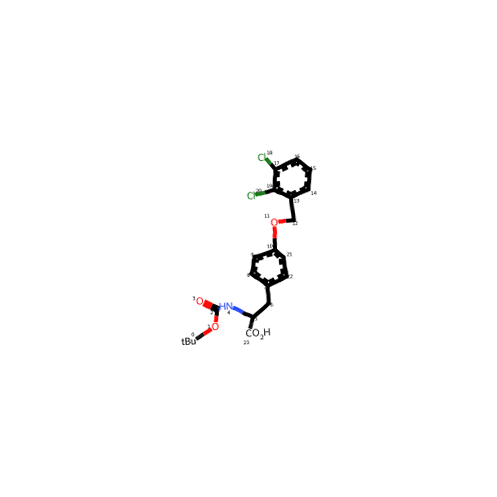 CC(C)(C)OC(=O)NC(Cc1ccc(OCc2cccc(Cl)c2Cl)cc1)C(=O)O